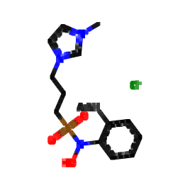 CC(=O)Nc1ccccc1N(O)S(=O)(=O)CCCn1cc[n+](C)c1.[Cl-]